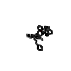 C[N+](C)(CCCc1ccccc1)CC1CCN(C(=O)C(O)(c2ccccc2)C2CCCC2)CC1